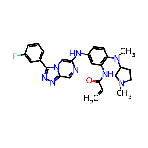 C=CC(=O)Nc1cc(Nc2cn3c(-c4cccc(F)c4)nnc3cn2)ccc1N(C)C1CCN(C)C1